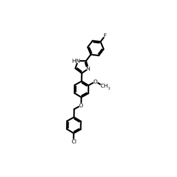 COc1cc(OCc2ccc(Cl)cc2)ccc1-c1c[nH]c(-c2ccc(F)cc2)n1